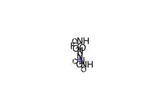 O=C(/N=C(\c1ccccc1)N1CCN(C(=O)C(=O)c2c[nH]c3cccc(F)c23)CC1)Nc1ccccc1